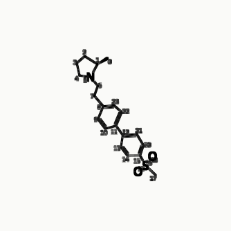 C[C@@H]1CCCN1CCc1ccc(-c2ccc(S(C)(=O)=O)cc2)cc1